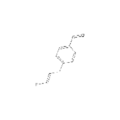 O=Cc1ccc(CC=CF)cc1